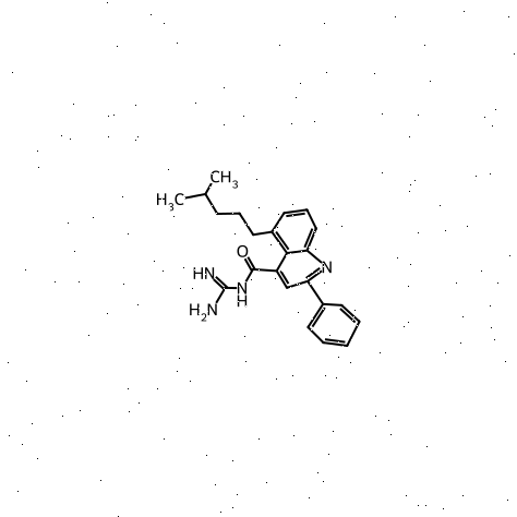 CC(C)CCCc1cccc2nc(-c3ccccc3)cc(C(=O)NC(=N)N)c12